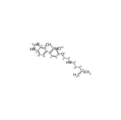 Cc1c(-c2ccc(OCCNCCCC(C)C)cc2)ccc2[nH]cnc12.Cl